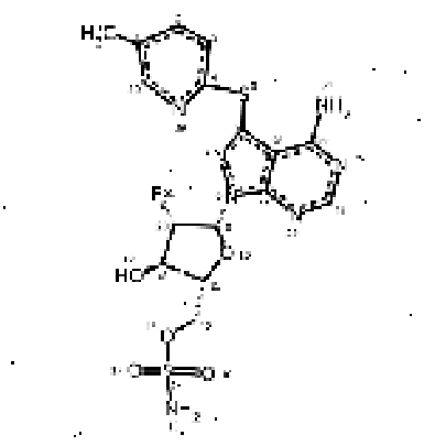 Cc1ccc(Sc2nn([C@@H]3O[C@H](COS(N)(=O)=O)[C@@H](O)[C@@H]3F)c3ncnc(N)c23)nc1